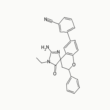 CCN1C(=O)C2(CC(c3ccccc3)Oc3ccc(-c4cccc(C#N)c4)cc32)N=C1N